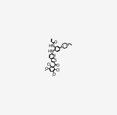 C=CC(=O)Nc1cc(N2CCN(CC)CC2)ccc1Nc1ccc2cc(C(=O)c3c(Cl)c(OC)cc(OC)c3Cl)sc2n1